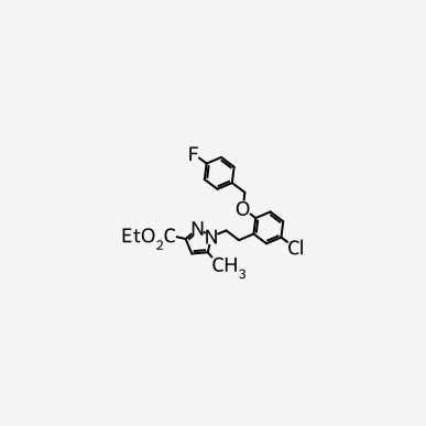 CCOC(=O)c1cc(C)n(CCc2cc(Cl)ccc2OCc2ccc(F)cc2)n1